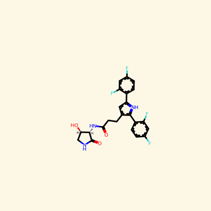 O=C(CCc1cc(-c2ccc(F)cc2F)[nH]c1-c1ccc(F)cc1F)N[C@@H]1C(=O)NC[C@H]1O